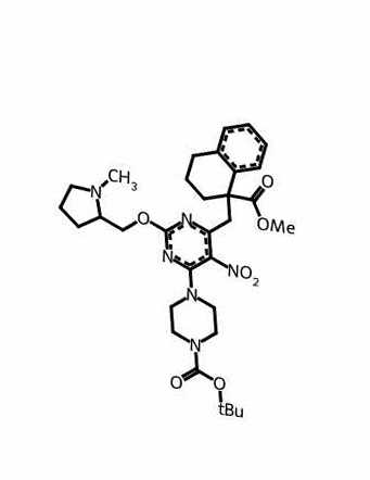 COC(=O)C1(Cc2nc(OCC3CCCN3C)nc(N3CCN(C(=O)OC(C)(C)C)CC3)c2[N+](=O)[O-])CCCc2ccccc21